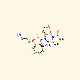 CC(=O)N1c2ccccc2N(C(=O)C2=C(N)CC=CC=C2OCCCN)CC1C